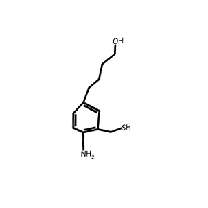 Nc1ccc(CCCCO)cc1CS